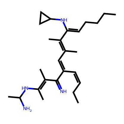 CC\C=C/C(=C\C(C)=C(C)\C(=C\CCCC)NC1CC1)C(=N)/C(C)=C(\C)NC(C)N